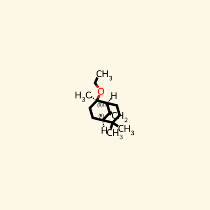 C=C1[C@@H]2CC[C@@](C)(OCC)[C@H]1CCC2(C)C